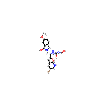 COc1ccc2c(c1)C(=O)N(C[C@H](NC(=O)NC=O)c1cc3cc(Br)cnc3o1)C2